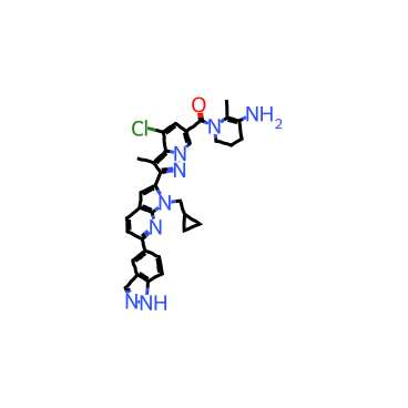 CC1=C(N)CCCN1C(=O)c1cc(Cl)c2c(C)c(-c3cc4ccc(-c5ccc6[nH]ncc6c5)nc4n3CC3CC3)nn2c1